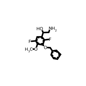 COc1c(F)cc(C(O)CN)c(F)c1OCc1ccccc1